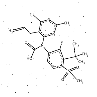 C=CCc1c(Cl)nc(C)nc1N(C(=O)O)c1ccc(S(C)(=O)=O)c(C(C)(C)C)c1F